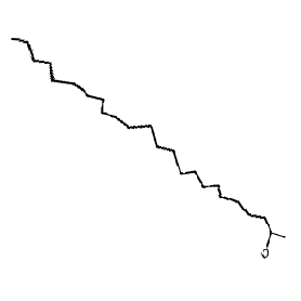 CCCCCCCCCCCCCCCCCCCCCCC(C)[O]